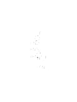 CC(C)C[C@H](NC(=O)c1cc2cc(F)ccc2[nH]1)C(=O)NN(CCC(N)=O)C(=O)[C@H](F)Cl